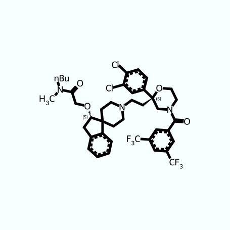 [CH2]CCCN(C)C(=O)CO[C@H]1Cc2ccccc2C12CCN(CC[C@]1(c3ccc(Cl)c(Cl)c3)CN(C(=O)c3cc(C(F)(F)F)cc(C(F)(F)F)c3)CCO1)CC2